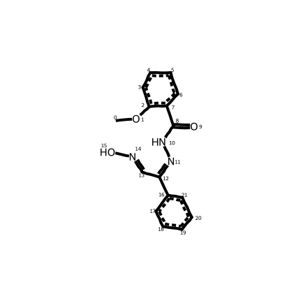 COc1ccccc1C(=O)NN=C(C=NO)c1ccccc1